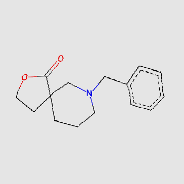 O=C1OCCC12CCCN(Cc1ccccc1)C2